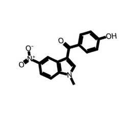 Cn1cc(C(=O)c2ccc(O)cc2)c2cc([N+](=O)[O-])ccc21